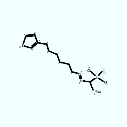 CCCCCCCCCC(N=NCCCCCCc1ccsc1)[Si](Cl)(Cl)Cl